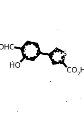 O=Cc1ccc(-c2csc(C(=O)O)c2)cc1O